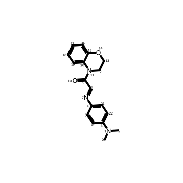 CN(C)c1ccc(N=CC(=O)N2CCOc3ccccc32)cc1